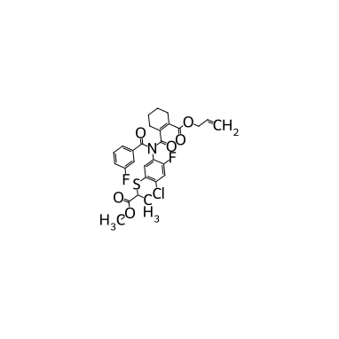 C=CCOC(=O)C1=C(C(=O)N(C(=O)c2cccc(F)c2)c2cc(SC(C)C(=O)OC)c(Cl)cc2F)CCCC1